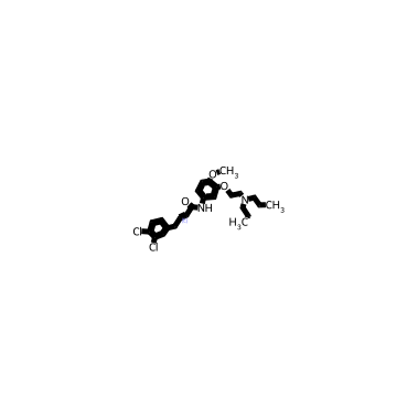 CCCN(CCC)CCOc1cc(NC(=O)/C=C/Cc2ccc(Cl)c(Cl)c2)ccc1OC